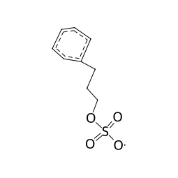 [O]S(=O)(=O)OCCCc1ccccc1